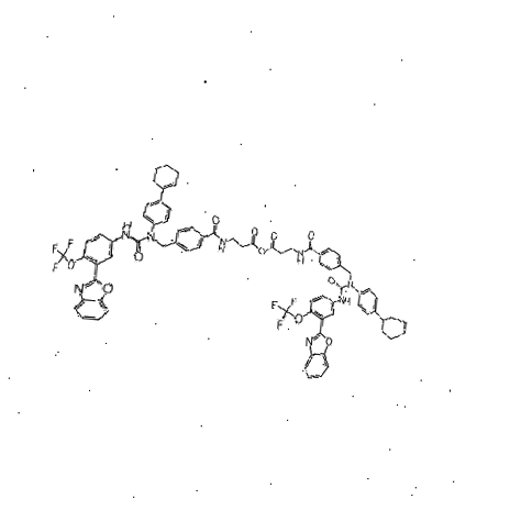 O=C(CCNC(=O)c1ccc(CN(C(=O)Nc2ccc(OC(F)(F)F)c(-c3nc4ccccc4o3)c2)c2ccc(C3=CCCCC3)cc2)cc1)OC(=O)CCNC(=O)c1ccc(CN(C(=O)Nc2ccc(OC(F)(F)F)c(-c3nc4ccccc4o3)c2)c2ccc(C3CCCCC3)cc2)cc1